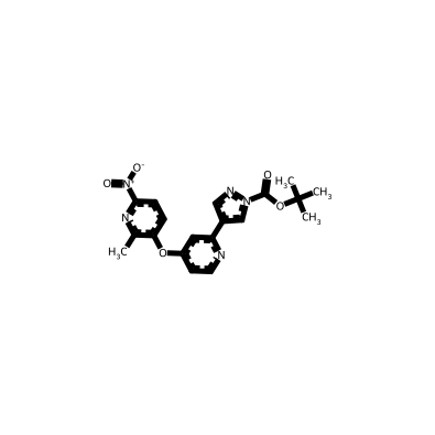 Cc1nc([N+](=O)[O-])ccc1Oc1ccnc(-c2cnn(C(=O)OC(C)(C)C)c2)c1